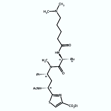 CCOC(=O)c1csc([C@@H](C[C@H](C(C)C)N(C)C(=O)[C@@H](NC(=O)CCCCN(C)C)[C@@H](C)CC)NC(C)=O)n1